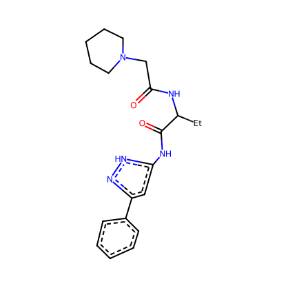 CCC(NC(=O)CN1CCCCC1)C(=O)Nc1cc(-c2ccccc2)n[nH]1